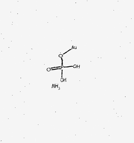 N.O=P(O)(O)[O][Au]